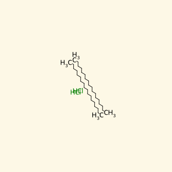 CCCCCCCCCCCCCCCCCC.CCCCCCCCCCCCCCCCCC.Cl.Cl